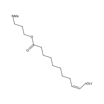 CCCCCCCC/C=C\CCCCCCCC(=O)OCCCNC